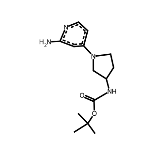 CC(C)(C)OC(=O)NC1CCN(c2ccnc(N)c2)C1